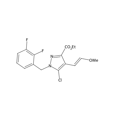 CCOC(=O)c1nn(Cc2cccc(F)c2F)c(Cl)c1/C=C/OC